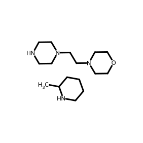 C1CN(CCN2CCOCC2)CCN1.CC1CCCCN1